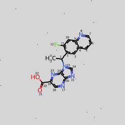 CC(c1cc2cccnc2cc1F)n1cnc2ncc(C(=O)O)nc21